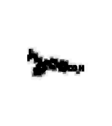 O=C(O)c1ccc(N2CCN(CC3=C(CCCC(F)F)CC4(CCC4)CC3)CC2)cc1